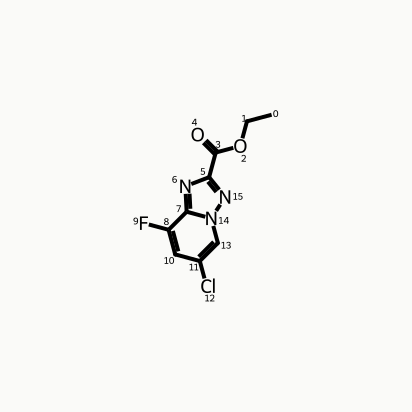 CCOC(=O)c1nc2c(F)cc(Cl)cn2n1